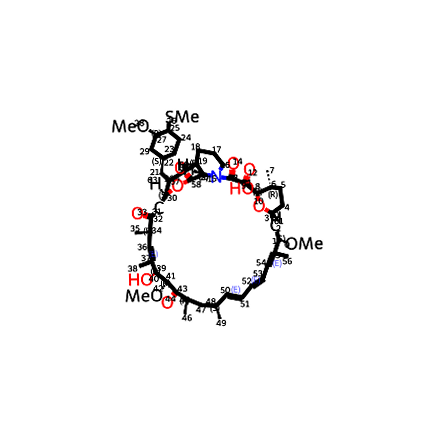 CO[C@H]1C[C@@H]2CC[C@@H](C)[C@@](O)(O2)C(=O)C(=O)N2CCC[C@@H]3C(C[C@@H]4CCC(SC)[C@H](OC)C4)[C@H](CC(=O)[C@H](C)/C=C(\C)[C@@H](O)[C@@H](OC)C(=O)[C@H](C)C[C@H](C)/C=C/C=C/C=C/1C)OC(=O)[C@H]32